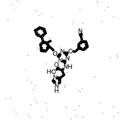 Cc1c(COc2nc(NC(Cc3c[nH]cn3)C(=O)O)nc(OCc3cccc(C#N)c3)n2)cccc1-c1ccccc1